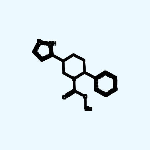 CC(C)(C)OC(=O)N1CC(c2ccn[nH]2)CCC1c1ccccc1